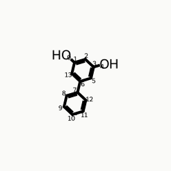 Oc1cc(O)cc(-c2cc[c]cc2)c1